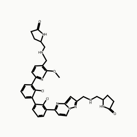 COc1nc(-c2cccc(-c3cccc(-c4ccn5nc(CNCC6CCC(=O)N6)cc5n4)c3Cl)c2Cl)ccc1CNCC1CCC(=O)N1